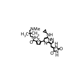 CNCC(C)(C)CNC(=O)c1ccc(-c2cc(NC3CC3)n3ncc(/C=C4\NC(=O)NC4=O)c3n2)s1